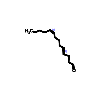 CCCC/C=C\CCC/C=C/CCC=O